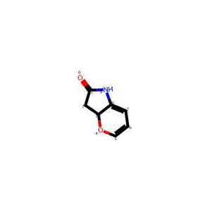 O=C1CC2OC=CC=C2N1